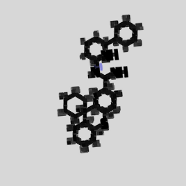 N=C(/N=c1/cccc(-c2ccccc2)[nH]1)c1ccc2c(c1)C1(CCCCC1)c1ccccc1S2